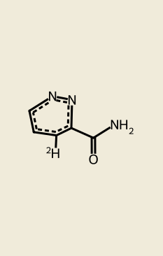 [2H]c1ccnnc1C(N)=O